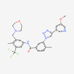 COc1cncc(-c2cn(-c3cc(C(=O)Nc4cc(CN5CCOCC5)c(C)c(C(F)(F)F)c4)ccc3C)nn2)c1